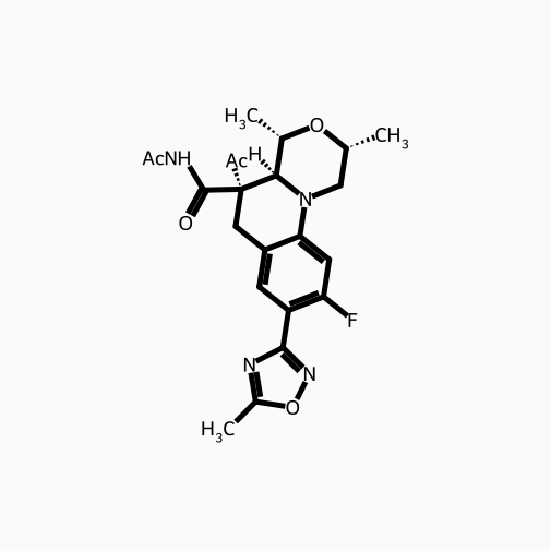 CC(=O)NC(=O)[C@]1(C(C)=O)Cc2cc(-c3noc(C)n3)c(F)cc2N2C[C@@H](C)O[C@@H](C)[C@@H]21